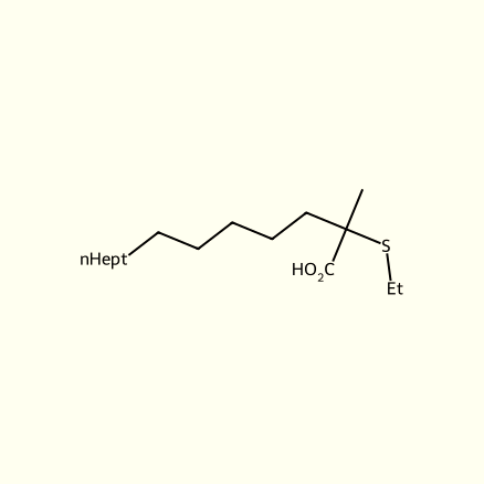 CCCCCCCCCCCCC(C)(SCC)C(=O)O